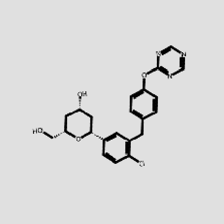 OC[C@@H]1C[C@H](O)C[C@H](c2ccc(Cl)c(Cc3ccc(Oc4ncncn4)cc3)c2)O1